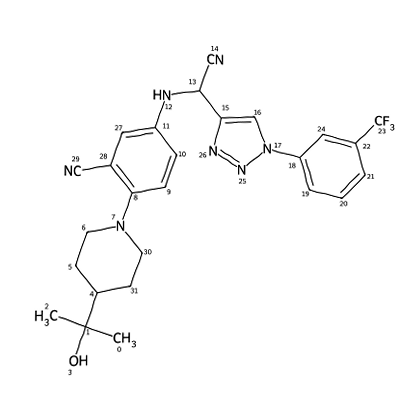 CC(C)(O)C1CCN(c2ccc(NC(C#N)c3cn(-c4cccc(C(F)(F)F)c4)nn3)cc2C#N)CC1